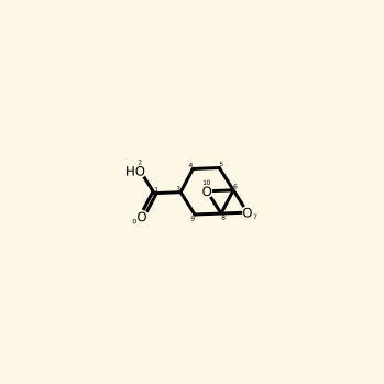 O=C(O)C1CCC23OC2(C1)O3